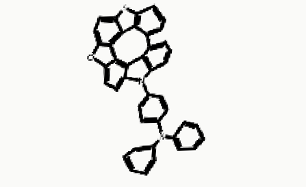 c1ccc(N(c2ccccc2)c2ccc(-n3c4cccc5c6cccc7sc8ccc9oc%10ccc3c(c%10c9c8c76)c54)cc2)cc1